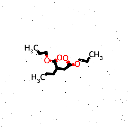 CCCOC(=O)CC(CCC)C(=O)OCCC